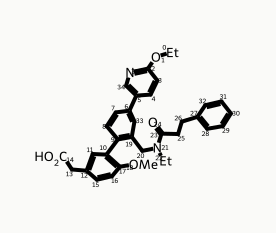 CCOc1ccc(-c2ccc(-c3cc(CC(=O)O)ccc3OC)c(CN(CC)C(=O)CCc3ccccc3)c2)cn1